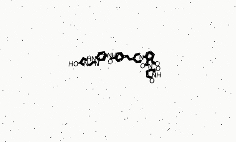 C[C@H]1C[C@H](O)CN1Cc1nc2cc(NC(=O)c3ccc(CCC4CCN(c5cccc6c5C(=O)N(C5CCC(=O)NC5=O)C6=O)CC4)cc3)ccc2[nH]1